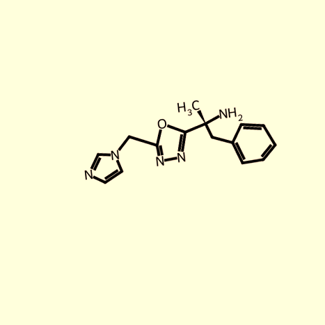 C[C@@](N)(Cc1ccccc1)c1nnc(Cn2ccnc2)o1